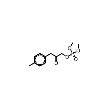 COP(=O)(OC)OCC(=O)Cc1ccc(C)cc1